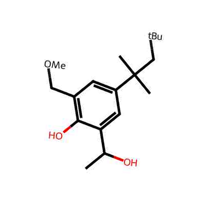 COCc1cc(C(C)(C)CC(C)(C)C)cc(C(C)O)c1O